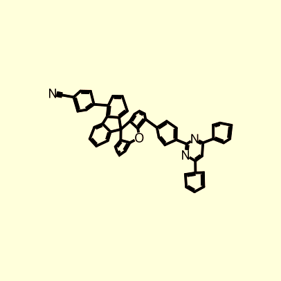 N#Cc1ccc(-c2cccc3c2-c2ccccc2C32c3ccccc3Oc3c(-c4ccc(-c5nc(-c6ccccc6)cc(-c6ccccc6)n5)cc4)cccc32)cc1